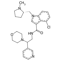 CN1CCC[C@H]1Cn1cc(C(=O)NCC(c2cccnc2)N2CCOCC2)c2c(Cl)cccc21